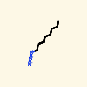 CCCCCC=CCN=[N+]=[N-]